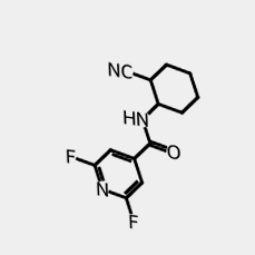 N#CC1CCCCC1NC(=O)c1cc(F)nc(F)c1